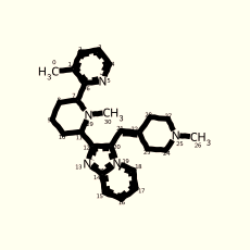 Cc1cccnc1C1CCCC(c2nc3ccccn3c2C=C2CCN(C)CC2)N1C